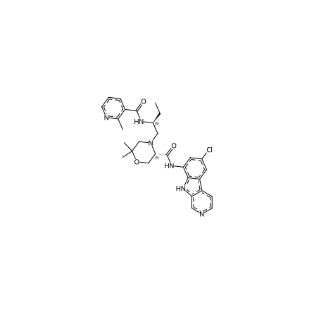 CC[C@@H](CN1CC(C)(C)OC[C@H]1C(=O)Nc1cc(Cl)cc2c1[nH]c1cnccc12)NC(=O)c1cccnc1C